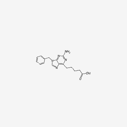 Nc1nc(CCCCC(=O)O)c2ncn(Cc3ccccc3)c2n1